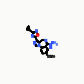 COc1ccc2c(c1)C(NN)=NCc1c(-c3nc(C4CC4)no3)ncn1-2